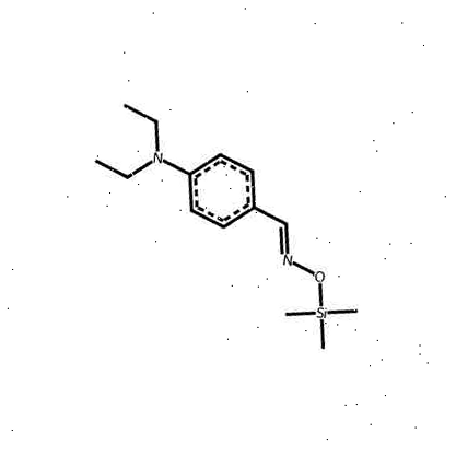 CCN(CC)c1ccc(/C=N/O[Si](C)(C)C)cc1